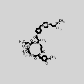 COc1ccc(C[C@H]2NC(=O)/C=C/C[C@@H]([C@H](C)[C@H]3O[C@@H]3c3ccc(CN4CCN(CC[C@H](C)SSC)CC4)cc3)OC(=O)[C@H](CC(C)C)NC(=O)C(C)(C)CNC2=O)cc1Cl